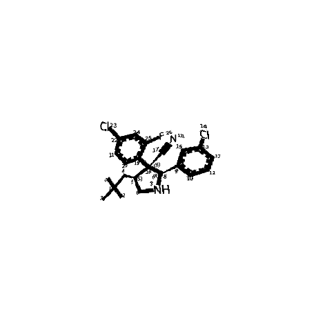 CC(C)(C)C[C@@H]1CN[C@H](c2cccc(Cl)c2)[C@@]1(C#N)c1ccc(Cl)cc1F